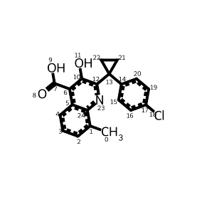 Cc1cccc2c(C(=O)O)c(O)c(C3(c4ccc(Cl)cc4)CC3)nc12